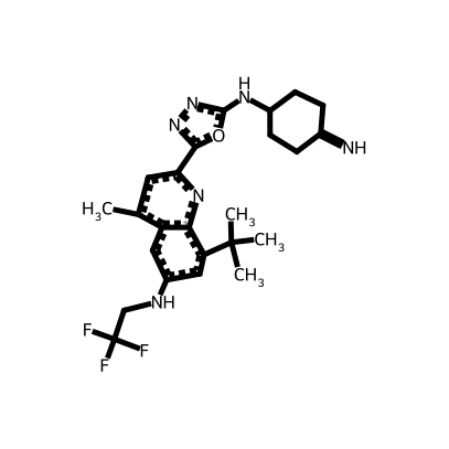 Cc1cc(-c2nnc(NC3CCC(=N)CC3)o2)nc2c(C(C)(C)C)cc(NCC(F)(F)F)cc12